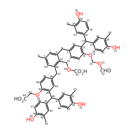 Cc1cc(Cc2ccc(OCOC=O)c(C(c3ccc(O)c(C)c3)c3ccc(O)c(C)c3)c2)c(COC(=O)O)c(Cc2ccc(OCC(=O)O)c(C(c3ccc(O)c(C)c3)c3ccc(O)c(C)c3)c2)c1